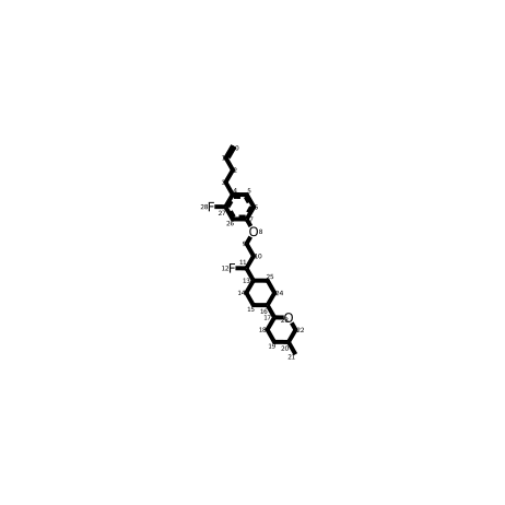 C=CCCc1ccc(OCCC(F)C2CCC(C3CCC(C)CO3)CC2)cc1F